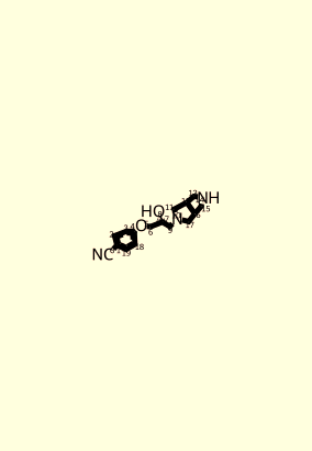 N#Cc1ccc(OC[C@H](O)CN2CC3CNCC3C2)cc1